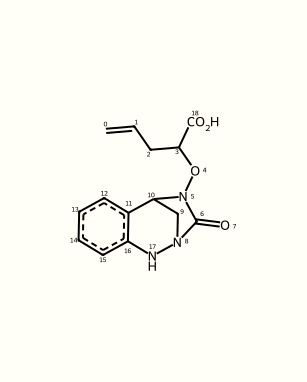 C=CCC(ON1C(=O)N2CC1c1ccccc1N2)C(=O)O